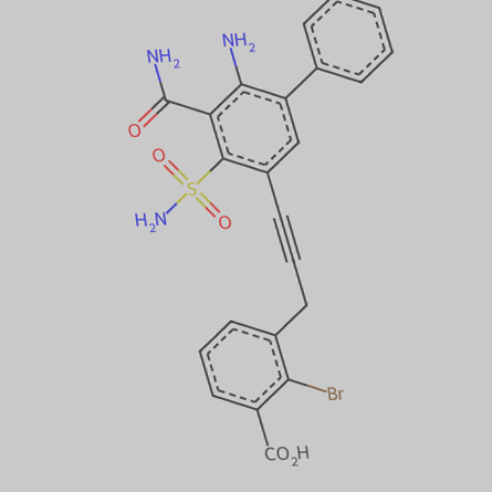 NC(=O)c1c(N)c(-c2ccccc2)cc(C#CCc2cccc(C(=O)O)c2Br)c1S(N)(=O)=O